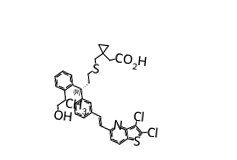 CC(CO)c1ccccc1[C@H](CCSCC1(CC(=O)O)CC1)c1cccc(C=Cc2ccc3sc(Cl)c(Cl)c3n2)c1